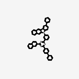 c1ccc(-c2ccc(-c3nc(-c4cccc(-n5c6ccc(-c7ccccc7)cc6c6cc7ccccc7cc65)c4)nc(-c4ccc5ccccc5c4)n3)cc2)cc1